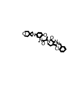 CN1C(=O)C(N2CCc3c(nn(Cc4ccccc4)c3Cl)C2=O)COc2ccc(N3CC4(CCOCC4)C3)cc21